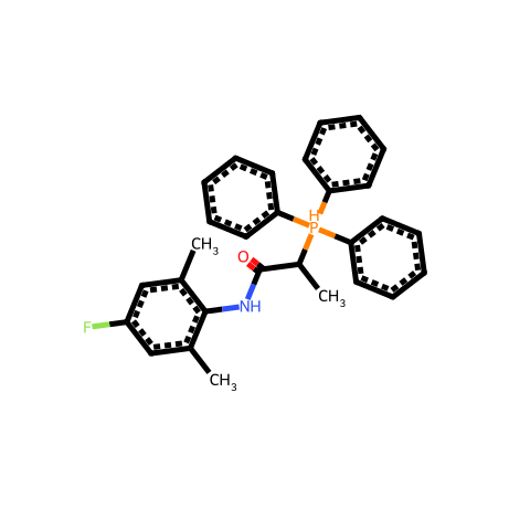 Cc1cc(F)cc(C)c1NC(=O)C(C)[PH](c1ccccc1)(c1ccccc1)c1ccccc1